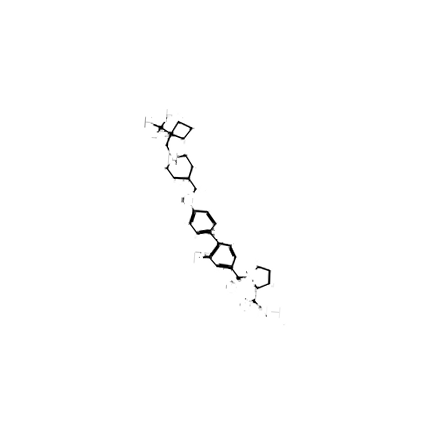 NC(=O)[C@@H]1CCCN1C(=O)c1ccc(-c2ccc(OCC3CCN(CC4(C(F)(F)F)CCC4)CC3)cc2)c(F)c1